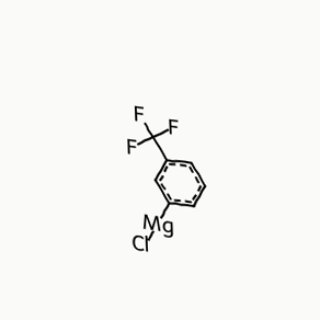 FC(F)(F)c1ccc[c]([Mg][Cl])c1